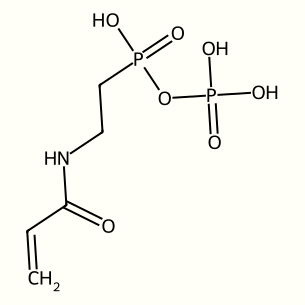 C=CC(=O)NCCP(=O)(O)OP(=O)(O)O